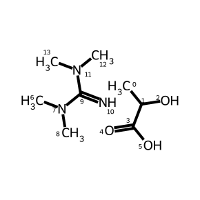 CC(O)C(=O)O.CN(C)C(=N)N(C)C